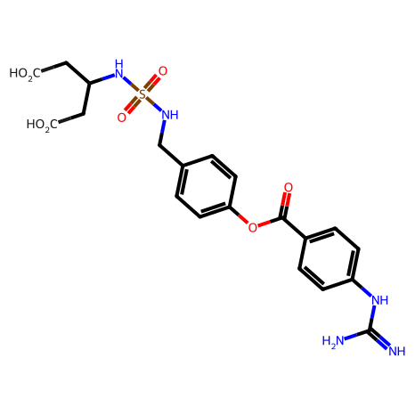 N=C(N)Nc1ccc(C(=O)Oc2ccc(CNS(=O)(=O)NC(CC(=O)O)CC(=O)O)cc2)cc1